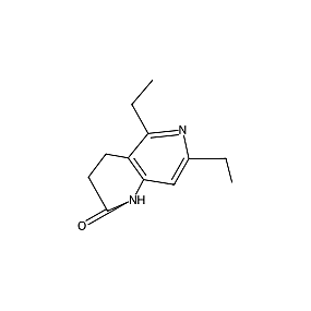 CCc1cc2c(c(CC)n1)CCC(=O)N2